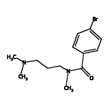 CN(C)CCCN(C)C(=O)c1ccc(Br)cc1